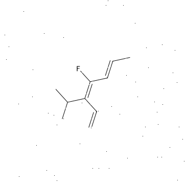 C=C/C(=C(F)\C=C\C)C(C)C